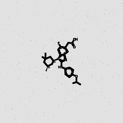 CC(C)Oc1ccc(Nc2nc3cc(CC(=O)O)c(F)cc3n2[C@H]2C[C@H](C)CC(C)(C)C2)cc1